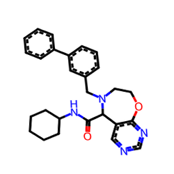 O=C(NC1CCCCC1)C1c2cncnc2OCCN1Cc1cccc(-c2ccccc2)c1